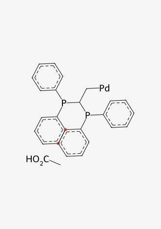 CC(=O)O.[Pd][CH2]C(P(c1ccccc1)c1ccccc1)P(c1ccccc1)c1ccccc1